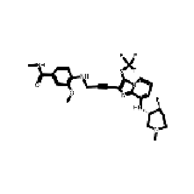 CNC(=O)c1ccc(NCC#Cc2nc3c(N[C@H]4CN(C)CC[C@@H]4F)cccn3c2SC(F)(F)F)c(OC)c1